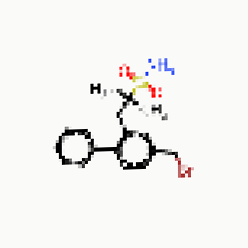 CC(C)(Cc1cc(CBr)ccc1-c1ccccc1)S(N)(=O)=O